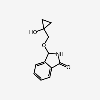 O=C1NC(OCC2(O)CC2)c2ccccc21